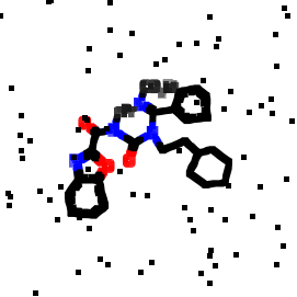 CCCN(C(=O)c1nc2ccccc2o1)C(=O)N(CCC1CCCCC1)C(=NC(=O)OCC)c1ccccc1